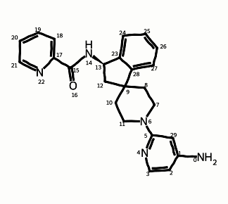 Nc1ccnc(N2CCC3(CC2)C[C@@H](NC(=O)c2ccccn2)c2ccccc23)c1